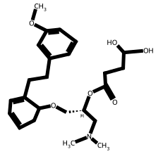 COc1cccc(CCC2=CC=CCC2OC[C@@H](CN(C)C)OC(=O)CCC(O)O)c1